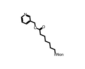 CCCCCCCCCCCCCCCC(=O)OCc1cccnc1